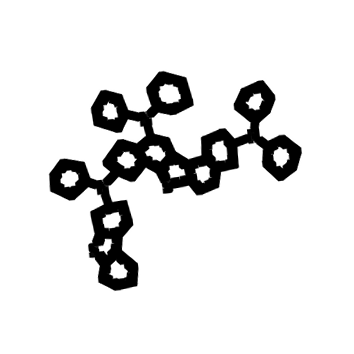 c1ccc(N(c2ccccc2)c2ccc3c(ccc4sc5c6cc(N(c7ccccc7)c7ccc8c(c7)sc7ccccc78)ccc6c(N(c6ccccc6)c6ccccc6)cc5c43)c2)cc1